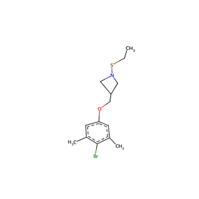 CCSN1CC(COc2cc(C)c(Br)c(C)c2)C1